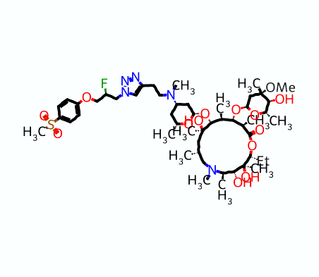 CC[C@H]1OC(=O)[C@H](C)[C@@H](O[C@H]2C[C@@](C)(OC)[C@@H](O)[C@H](C)O2)[C@H](C)[C@@H](O[C@H]2C[C@@H](N(C)CCc3cn(C[C@H](F)COc4ccc(S(C)(=O)=O)cc4)nn3)C[C@@H](C)O2)[C@](C)(O)C[C@@H](C)CN(C)[C@H](C)[C@@H](O)[C@]1(C)O